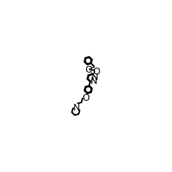 O=S(=O)(Cc1ccccc1)c1ccc(-c2ccc(OCCCN3CCCCC3)cc2)nn1